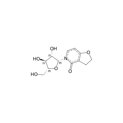 O=c1c2c(ccn1[C@@H]1O[C@H](CO)[C@@H](O)[C@@H]1O)OCC2